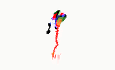 COc1cc(C(=O)OCOC(=O)OCCOCCOCCOCCOP(=O)(O)O)ccc1NC(=O)[C@@H]1N[C@@H](CC(C)(C)C)[C@](C#N)(c2ccc(Cl)cc2F)[C@H]1c1cccc(Cl)c1F.c1ccc(CCc2ccccc2)cc1